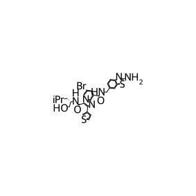 CC(C)C[C@@H](CO)NC(=O)c1c(-c2ccsc2)nc2c(C(=O)NCc3ccc4nc(N)sc4c3)cc(Br)cn12